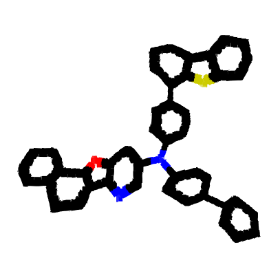 c1ccc(-c2ccc(N(c3ccc(-c4cccc5c4sc4ccccc45)cc3)c3cnc4c(c3)oc3c5ccccc5ccc43)cc2)cc1